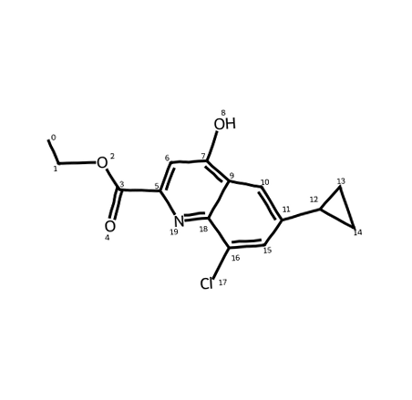 CCOC(=O)c1cc(O)c2cc(C3CC3)cc(Cl)c2n1